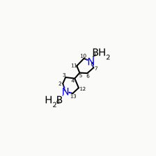 BN1CCC(C2CCN(B)CC2)CC1